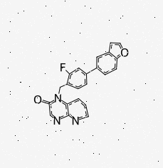 O=c1cnc2ncccc2n1Cc1ccc(-c2ccc3occc3c2)cc1F